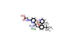 CC(C)(C)c1ccc(CC(N)(c2cccc(NCC(=O)O)n2)S(=O)(=O)c2ccccn2)cc1.Cl